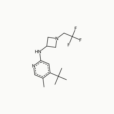 Cc1cnc(NC2CN(CC(F)(F)F)C2)cc1C(C)(C)C